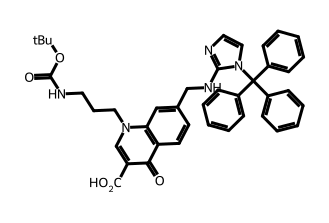 CC(C)(C)OC(=O)NCCCn1cc(C(=O)O)c(=O)c2ccc(CNc3nccn3C(c3ccccc3)(c3ccccc3)c3ccccc3)cc21